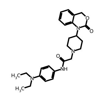 CCN(CC)c1ccc(NC(=O)CN2CCC(N3C(=O)OCc4ccccc43)CC2)cc1